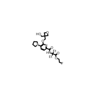 CCC(CC)(NC(=O)c1ccc(N2CCCC2)c(OCC2(CO)COC2)n1)C(=O)OCCF